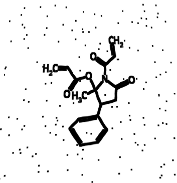 C=CC(=O)OC1(C)C(c2ccccc2)CC(=O)N1C(=O)C=C